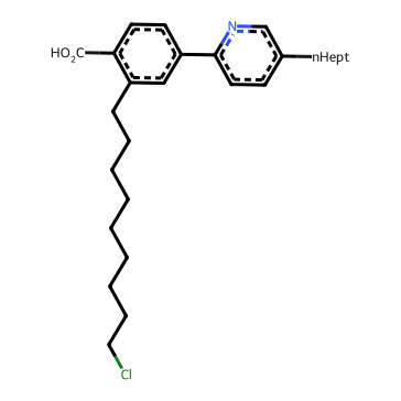 CCCCCCCc1ccc(-c2ccc(C(=O)O)c(CCCCCCCCCCl)c2)nc1